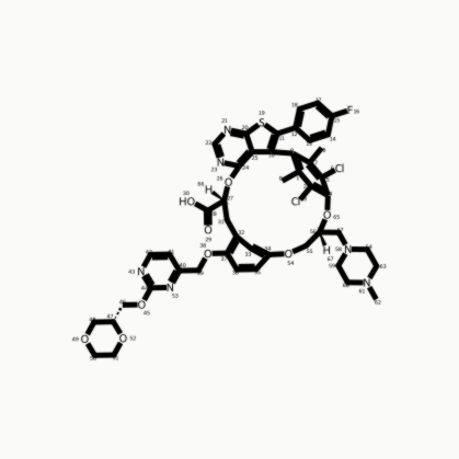 Cc1c(Cl)c2c(Cl)c(C)c1-c1c(-c3ccc(F)cc3)sc3ncnc(c13)O[C@@H](C(=O)O)Cc1cc(ccc1OCc1ccnc(OC[C@H]3COCCO3)n1)OC[C@@H](CN1CCN(C)CC1)O2